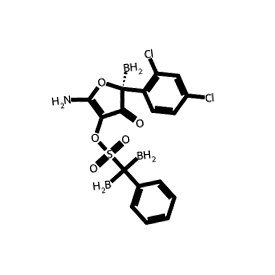 BC(B)(c1ccccc1)S(=O)(=O)OC1=C(N)O[C@@](B)(c2ccc(Cl)cc2Cl)C1=O